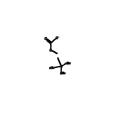 CCCC[N+](C)(CCCC)CCCC.COC(=O)[O-]